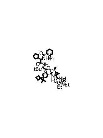 C=C[C@@H]1C[C@]1(NC(=O)[C@@H]1C[C@@]2(CN1C(=O)[C@@H](NC(=O)C(NC(=O)[C@@H]1CCCCN1C(C)C)C1CCCC1)C(C)(C)C)C(C)(C)C21CCC1)C(=O)NS(=O)(=O)N(CC)CC